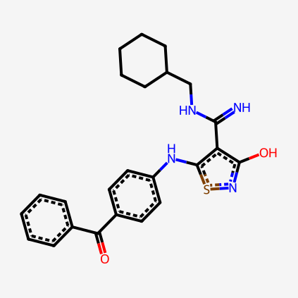 N=C(NCC1CCCCC1)c1c(O)nsc1Nc1ccc(C(=O)c2ccccc2)cc1